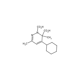 CC1=NN(C(=O)O)C(C)(C(=O)O)C(C2CCCCC2)=C1